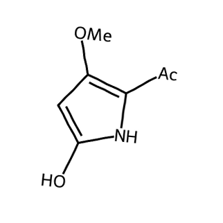 COc1cc(O)[nH]c1C(C)=O